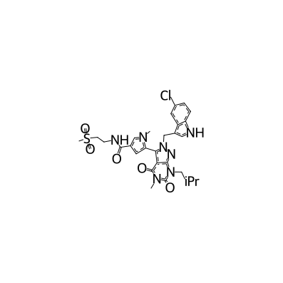 CC(C)Cn1c(=O)n(C)c(=O)c2c(-c3cc(C(=O)NCCS(C)(=O)=O)cn3C)n(Cc3c[nH]c4ccc(Cl)cc34)nc21